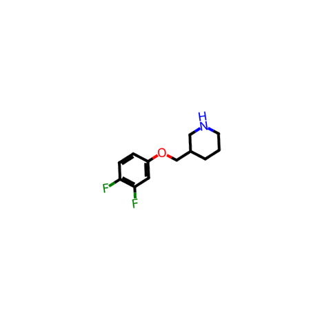 Fc1ccc(OCC2CCCNC2)cc1F